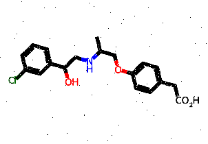 CC(COc1ccc(CC(=O)O)cc1)NCC(O)c1cccc(Cl)c1